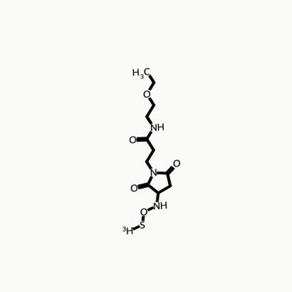 [3H]SONC1CC(=O)N(CCC(=O)NCCOCC)C1=O